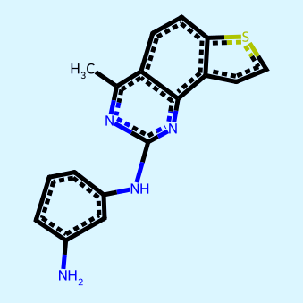 Cc1nc(Nc2cccc(N)c2)nc2c1ccc1sccc12